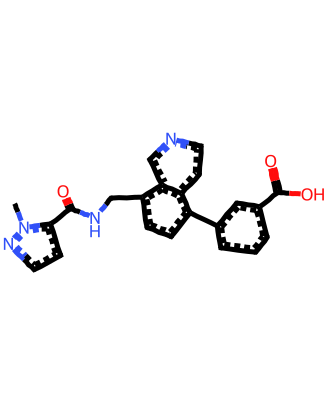 Cn1nccc1C(=O)NCc1ccc(-c2cccc(C(=O)O)c2)c2ccncc12